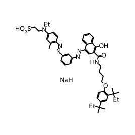 CCN(CCS(=O)(=O)O)c1ccc(N=Nc2cccc(N=Nc3cc(C(=O)NCCCCOc4ccc(C(C)(C)CC)cc4C(C)(C)CC)c(O)c4ccccc34)c2)c(C)c1.[NaH]